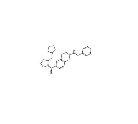 O=C(c1ccc2c(c1)CCC(NCc1ccccc1)C2)N1CCCC1CN1CCCC1